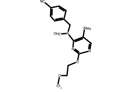 CNc1cnc(OCCOC(F)(F)F)nc1N(C=O)Cc1ccc(C#N)cc1